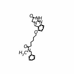 CN(Cc1ccccc1)C(=O)CCCCCOc1cccc2c1CN1CC(=O)NC1=N2